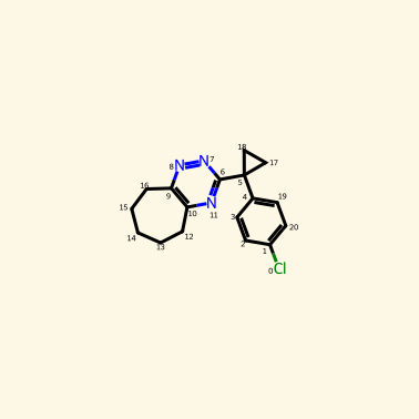 Clc1ccc(C2(c3nnc4c(n3)CCCCC4)CC2)cc1